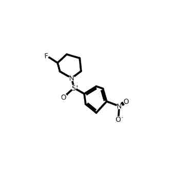 O=[N+]([O-])c1ccc([S+]([O-])N2CCCC(F)C2)cc1